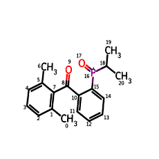 Cc1cccc(C)c1C(=O)c1ccccc1[P](=O)C(C)C